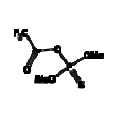 COP(=S)(OC)OC(=O)C(F)(F)F